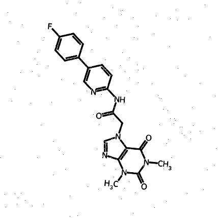 Cn1c(=O)c2c(ncn2CC(=O)Nc2ccc(-c3ccc(F)cc3)cn2)n(C)c1=O